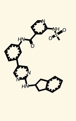 CS(=O)(=O)Nc1cc(C(=O)Nc2cccc(-c3cnc(NC4Cc5ccccc5C4)nc3)c2)ccn1